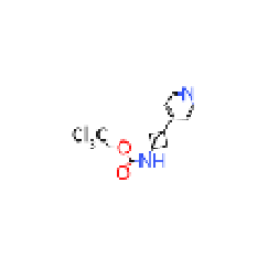 O=C(NC12CC(c3ccncc3)(C1)C2)OCC(Cl)(Cl)Cl